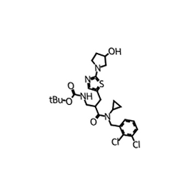 CC(C)(C)OC(=O)NCC(Cc1cnc(N2CCC(O)C2)s1)C(=O)N(Cc1cccc(Cl)c1Cl)C1CC1